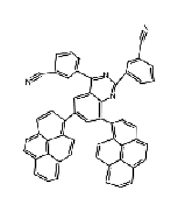 N#Cc1cccc(-c2nc(-c3cccc(C#N)c3)c3cc(-c4ccc5ccc6cccc7ccc4c5c67)cc(-c4ccc5ccc6cccc7ccc4c5c67)c3n2)c1